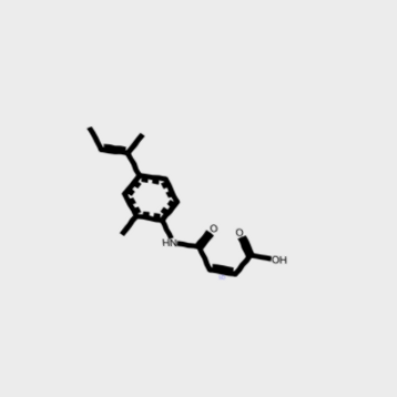 CC=C(C)c1ccc(NC(=O)/C=C\C(=O)O)c(C)c1